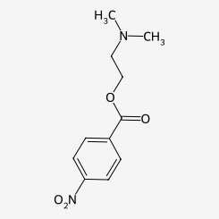 CN(C)CCOC(=O)c1ccc([N+](=O)[O-])cc1